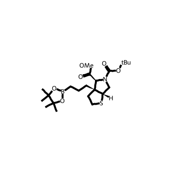 COC(=O)[C@H]1N(C(=O)OC(C)(C)C)C[C@@H]2SCC[C@@]21CCCB1OC(C)(C)C(C)(C)O1